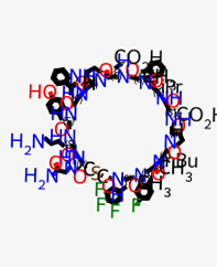 CCCC[C@H]1C(=O)N2CCC[C@@H]2C(=O)N[C@@H](CC(=O)O)C(=O)N[C@@H](C(C)C)C(=O)N(C)[C@@H](Cc2ccccc2)C(=O)N[C@@H](CCC(=O)O)C(=O)N2CCCC[C@@H]2C(=O)N[C@@H](Cc2c[nH]c3ccccc23)C(=O)N[C@@H](Cc2ccc(O)cc2)C(=O)N[C@@H](CCCCN)C(=O)N[C@H](C(=O)NCC(N)=O)CSCC(=O)N[C@@H](Cc2cc(F)c(F)c(F)c2)C(=O)N(C)[C@@H](Cc2ccc(F)cc2)C(=O)N1C